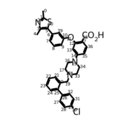 Cc1nc(C)c(-c2cccc(Oc3cc(N4CCN(Cc5ccccc5-c5ccc(Cl)cc5)CC4)ccc3C(=O)O)c2)s1